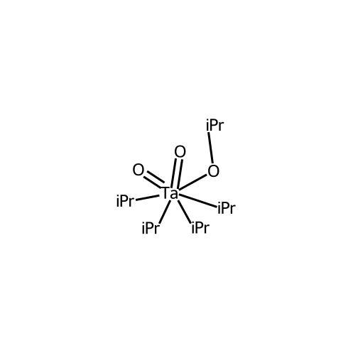 CC(C)[O][Ta](=[O])(=[O])([CH](C)C)([CH](C)C)([CH](C)C)[CH](C)C